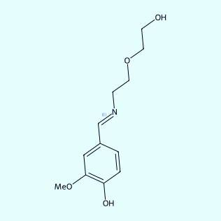 COc1cc(/C=N/CCOCCO)ccc1O